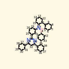 c1ccc(B2c3ccccc3-c3ccccc3N2c2cccc(-c3nc(-c4ccccc4)cc(-c4ccccc4)n3)c2)cc1